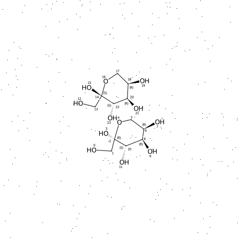 OC[C@@]1(O)OC[C@@H](O)[C@@H](O)[C@@H]1O.OC[C@]1(O)OC[C@@H](O)[C@@H](O)[C@@H]1O